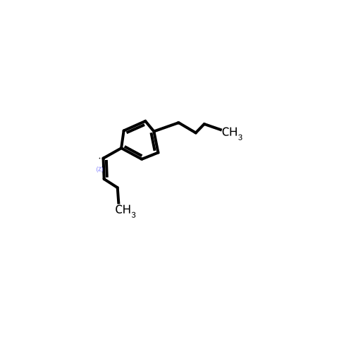 CC/C=[C]\c1ccc(CCCC)cc1